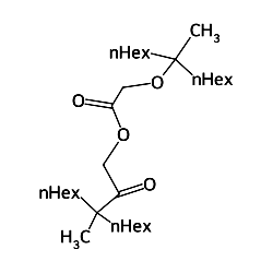 CCCCCCC(C)(CCCCCC)OCC(=O)OCC(=O)C(C)(CCCCCC)CCCCCC